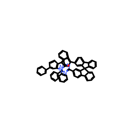 c1ccc(-c2ccc3c4ccc(-c5ccc6c(c5)C5(c7ccccc7-6)c6ccccc6-c6ccc(-c7nc(-c8ccccc8)nc(-c8ccccc8)n7)cc65)cc4n(-c4ccccc4)c3c2)cc1